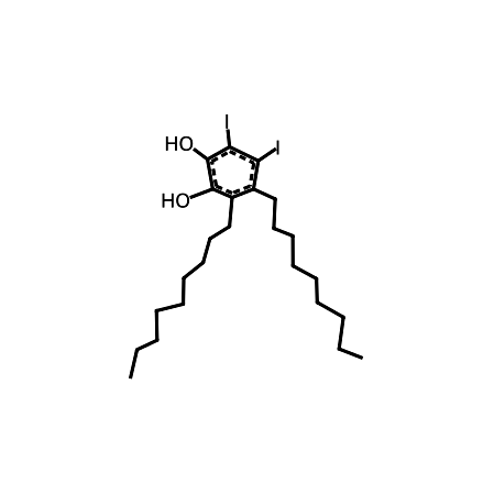 CCCCCCCCCc1c(O)c(O)c(I)c(I)c1CCCCCCCCC